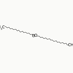 CCCCCCCCCCCCCCCCCCCCOOCCCCCCCCCCCCCCCCCC